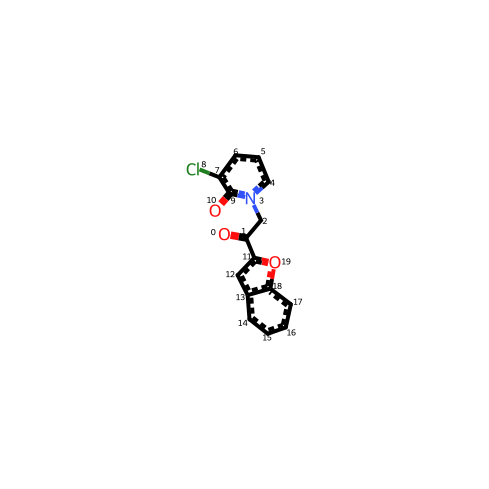 O=C(Cn1cccc(Cl)c1=O)c1cc2ccccc2o1